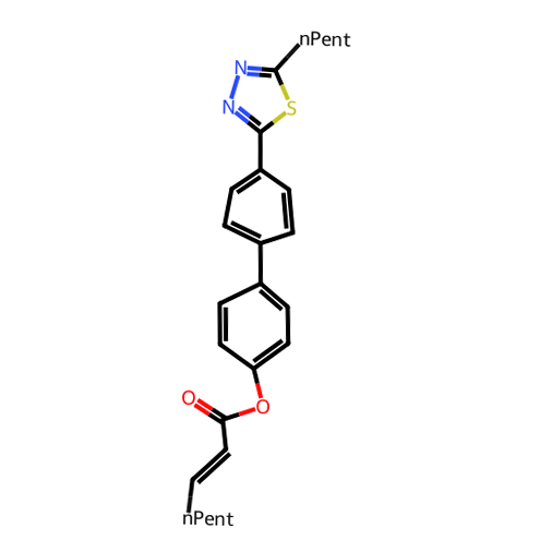 CCCCCC=CC(=O)Oc1ccc(-c2ccc(-c3nnc(CCCCC)s3)cc2)cc1